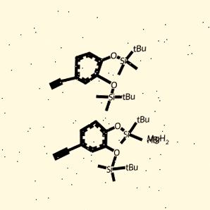 Br.C#Cc1ccc(O[Si](C)(C)C(C)(C)C)c(O[Si](C)(C)C(C)(C)C)c1.C#Cc1ccc(O[Si](C)(C)C(C)(C)C)c(O[Si](C)(C)C(C)(C)C)c1.[MgH2]